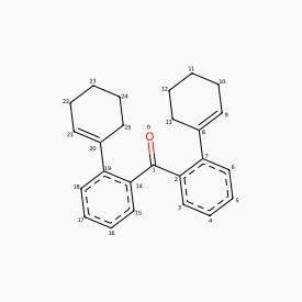 O=C(c1ccccc1C1=CCCCC1)c1ccccc1C1=CCCCC1